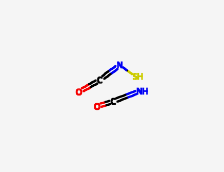 N=C=O.O=C=NS